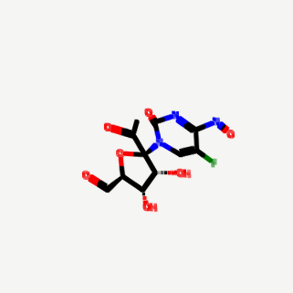 CC(=O)[C@@]1(n2cc(F)c(N=O)nc2=O)O[C@H](C=O)[C@@H](O)[C@H]1O